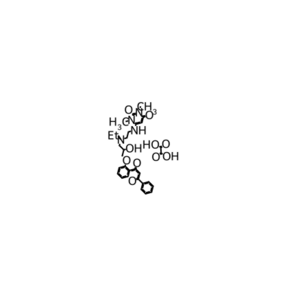 CCN(CCNc1cc(=O)n(C)c(=O)n1C)CC(O)COc1cccc2oc(-c3ccccc3)cc(=O)c12.O=C(O)C(=O)O